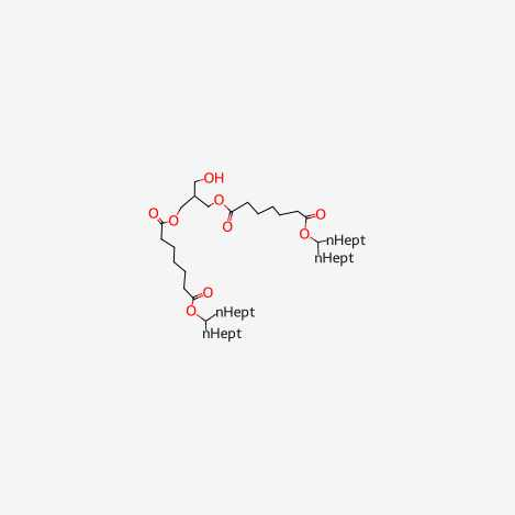 CCCCCCCC(CCCCCCC)OC(=O)CCCCCC(=O)OCC(CO)COC(=O)CCCCCC(=O)OC(CCCCCCC)CCCCCCC